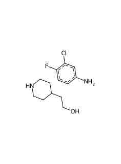 Nc1ccc(F)c(Cl)c1.OCCC1CCNCC1